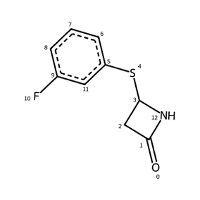 O=C1CC(Sc2cccc(F)c2)N1